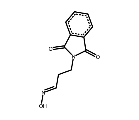 O=C1c2ccccc2C(=O)N1CC/C=N/O